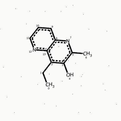 CCc1c(O)c(C)nc2cccnc12